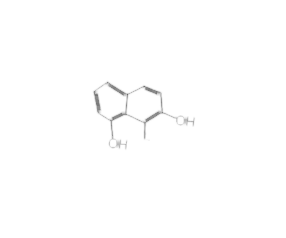 [CH2]c1c(O)ccc2cccc(O)c12